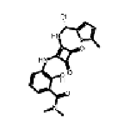 CC[C@@H](Nc1c(Nc2cccc(C(=O)N(C)C)c2O)c(=O)c1=O)c1ccc(C)s1